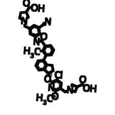 COc1nc(O[C@H]2CCc3c(-c4cccc(-c5nc6cc(CN7CCC(C(=O)O)C7)cc(C#N)c6o5)c4C)cccc32)c(Cl)cc1CN1CC(C(=O)O)C1